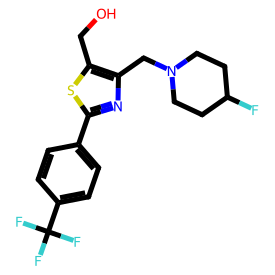 OCc1sc(-c2ccc(C(F)(F)F)cc2)nc1CN1CCC(F)CC1